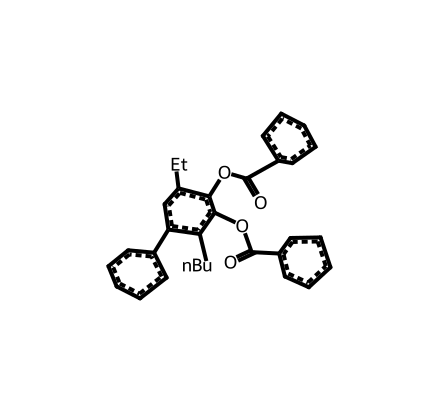 CCCCc1c(-c2ccccc2)cc(CC)c(OC(=O)c2ccccc2)c1OC(=O)c1ccccc1